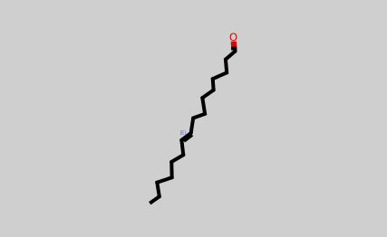 CCCCCC/C=C/CCCCCCCC=O